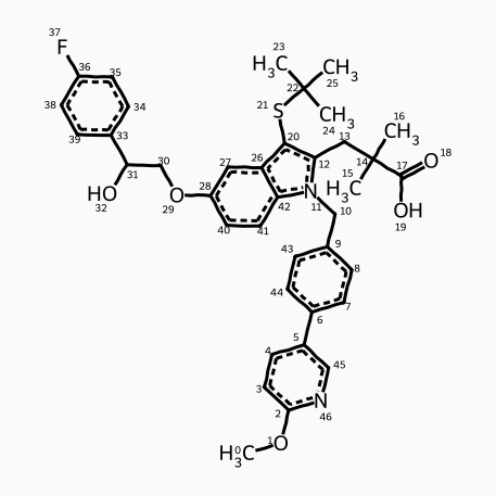 COc1ccc(-c2ccc(Cn3c(CC(C)(C)C(=O)O)c(SC(C)(C)C)c4cc(OCC(O)c5ccc(F)cc5)ccc43)cc2)cn1